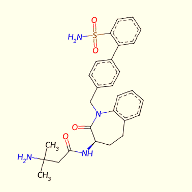 CC(C)(N)CC(=O)N[C@@H]1CCc2ccccc2N(Cc2ccc(-c3ccccc3S(N)(=O)=O)cc2)C1=O